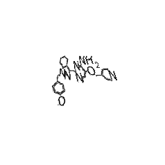 COc1ccc(Cn2nc(-c3ncc(OCc4ccncc4)c(N)n3)c3ccccc32)cc1